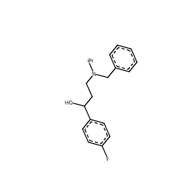 CC(C)N(CCC(O)c1ccc(F)cc1)Cc1ccccc1